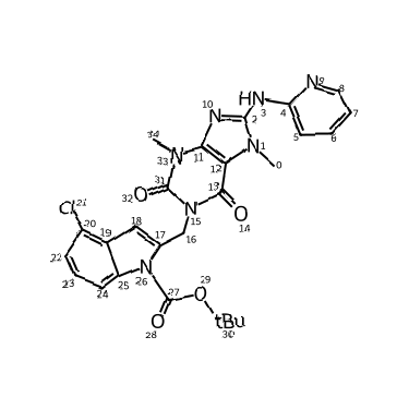 Cn1c(Nc2ccccn2)nc2c1c(=O)n(Cc1cc3c(Cl)cccc3n1C(=O)OC(C)(C)C)c(=O)n2C